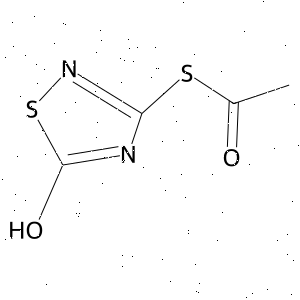 CC(=O)Sc1nsc(O)n1